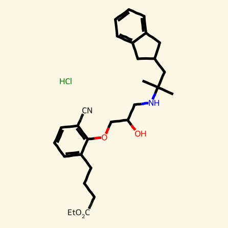 CCOC(=O)CCCc1cccc(C#N)c1OCC(O)CNC(C)(C)CC1Cc2ccccc2C1.Cl